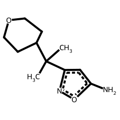 CC(C)(c1cc(N)on1)C1CCOCC1